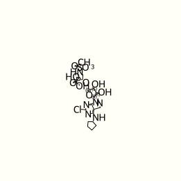 CS(=O)(=O)NCC(OC[C@H]1O[C@@H](n2ncc3c(NC4CCCC4)nc(Cl)nc32)[C@H](O)[C@@H]1O)P(=O)(O)O